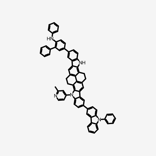 Cc1cc(-n2c3ccc(-c4ccc5c(c4)c4ccccc4n5-c4ccccc4)cc3c3cc4c5c(c32)CCc2cc3c([nH]c6ccc(-c7ccc(Nc8ccccc8)c(-c8ccccc8)c7)cc63)c(c2-5)CC4)ccn1